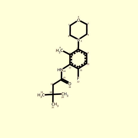 Cc1c(N2CCOCC2)ccc(F)c1NC(=O)CC(C)(C)C